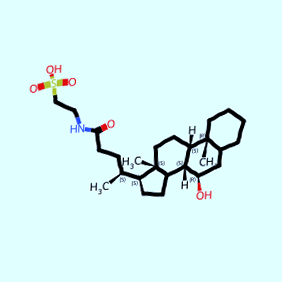 C[C@@H](CCC(=O)NCCS(=O)(=O)O)[C@@H]1CCC2[C@H]3[C@H](O)CC4CCCC[C@@]4(C)[C@H]3CC[C@]21C